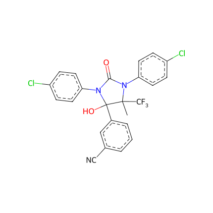 CC1(C(F)(F)F)N(c2ccc(Cl)cc2)C(=O)N(c2ccc(Cl)cc2)C1(O)c1cccc(C#N)c1